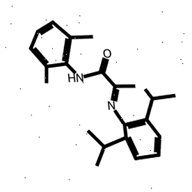 C/C(=N\c1c(C(C)C)cccc1C(C)C)C(=O)Nc1c(C)cccc1C